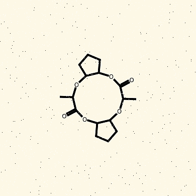 CC1OC2CCCC2OC(=O)C(C)OC2CCCC2OC1=O